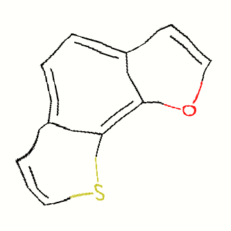 c1cc2ccc3ccsc3c2o1